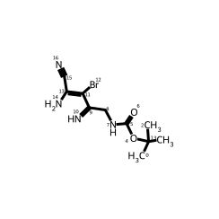 CC(C)(C)OC(=O)NCC(=N)/C(Br)=C(\N)C#N